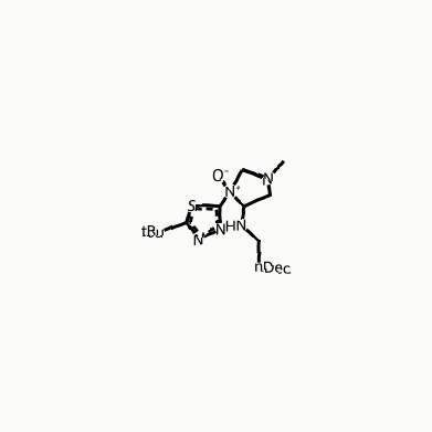 CCCCCCCCCCCNC1CN(C)C[N+]1([O-])c1nnc(C(C)(C)C)s1